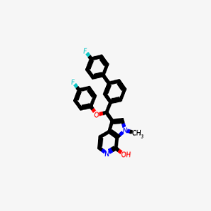 Cn1cc(C(Oc2ccc(F)cc2)c2cccc(-c3ccc(F)cc3)c2)c2ccnc(O)c21